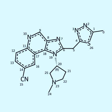 Cc1nnc(Cc2nc3cnc4ccc(C#N)cc4c3n2[C@@H]2CCN(C)C2)s1